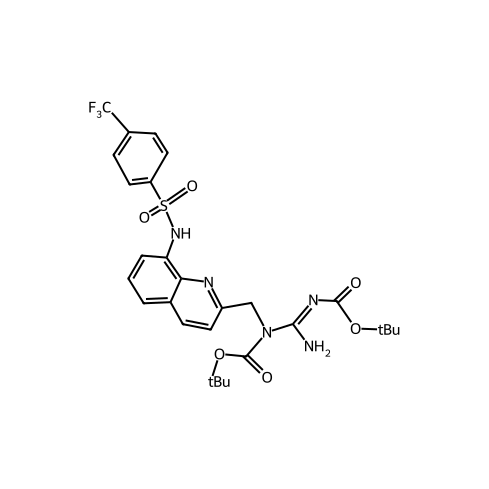 CC(C)(C)OC(=O)N=C(N)N(Cc1ccc2cccc(NS(=O)(=O)c3ccc(C(F)(F)F)cc3)c2n1)C(=O)OC(C)(C)C